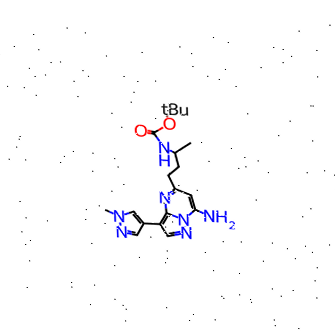 CC(CCc1cc(N)n2ncc(-c3cnn(C)c3)c2n1)NC(=O)OC(C)(C)C